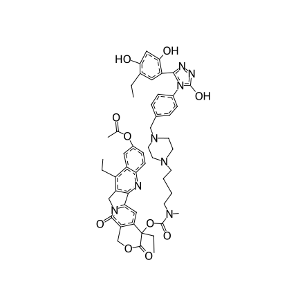 CCc1cc(-c2nnc(O)n2-c2ccc(CN3CCN(CCCCN(C)C(=O)OC4(CC)C(=O)OCc5c4cc4n(c5=O)Cc5c-4nc4ccc(OC(C)=O)cc4c5CC)CC3)cc2)c(O)cc1O